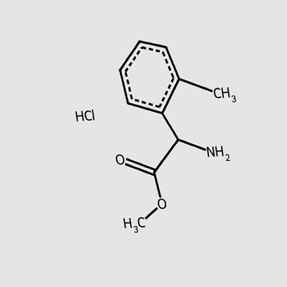 COC(=O)C(N)c1ccccc1C.Cl